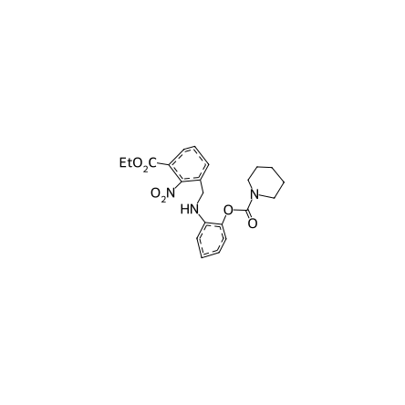 CCOC(=O)c1cccc(CNc2ccccc2OC(=O)N2CCCCC2)c1[N+](=O)[O-]